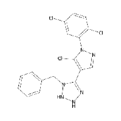 Clc1ccc(Cl)c(-n2ncc(C3=NNNN3Cc3ccccc3)c2Cl)c1